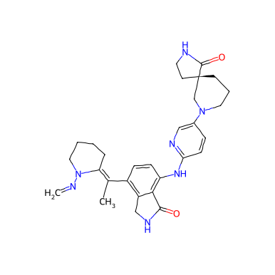 C=NN1CCCC/C1=C(/C)c1ccc(Nc2ccc(N3CCC[C@]4(CCNC4=O)C3)cn2)c2c1CNC2=O